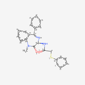 CN1C(=O)[C@H](NC(=O)CSc2ccccc2)N=C(c2ccccc2)c2ccccc21